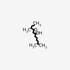 CCCC(C)C(=O)C[C@H](O)CCCCC(C)C